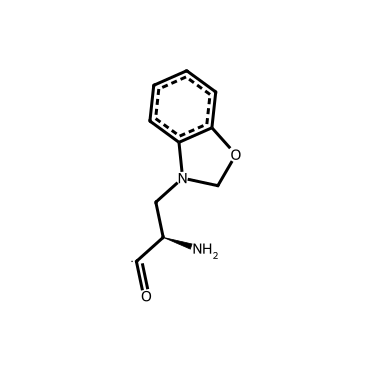 N[C@@H]([C]=O)CN1COc2ccccc21